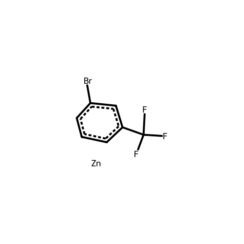 FC(F)(F)c1cccc(Br)c1.[Zn]